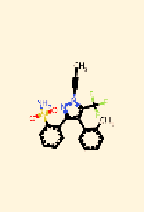 CC#Cn1nc(-c2ccccc2S(N)(=O)=O)c(-c2ccccc2C)c1C(F)(F)F